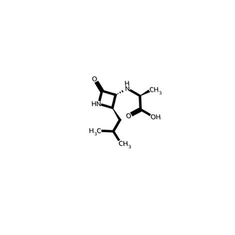 CC(C)C[C@H]1NC(=O)[C@@H]1N[C@@H](C)C(=O)O